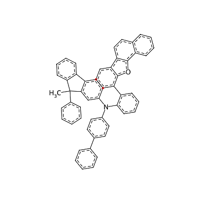 CC1(c2ccccc2)c2ccccc2-c2ccc(N(c3ccc(-c4ccccc4)cc3)c3ccccc3-c3cccc4c3oc3c5ccccc5ccc43)cc21